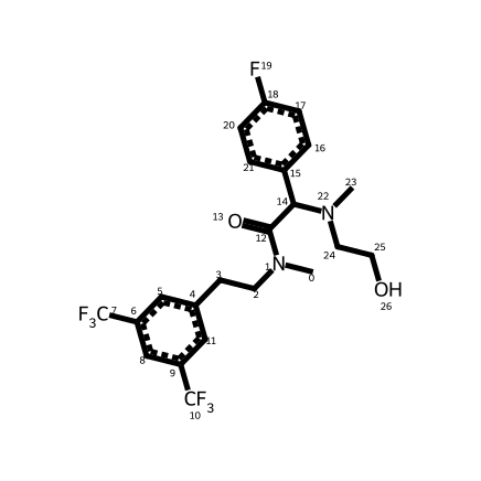 CN(CCc1cc(C(F)(F)F)cc(C(F)(F)F)c1)C(=O)C(c1ccc(F)cc1)N(C)CCO